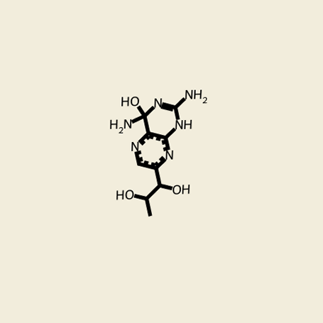 CC(O)C(O)c1cnc2c(n1)NC(N)=NC2(N)O